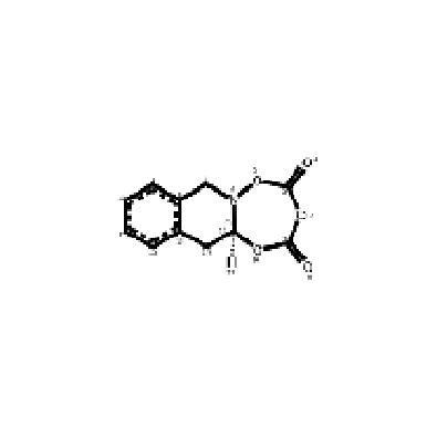 O=C1OC(=O)ON2Cc3ccccc3C[C@@H]2O1